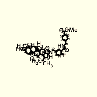 C=C(C)[C@@H]1CC[C@]2(C(=O)NCc3ccc(F)c(C(=O)NCc4ccc(C(=O)OC)cc4)c3)CC[C@]3(C)C(CCC4[C@@]5(C)CC[C@H](O)C(C)(C)C5CC[C@]43C)C12